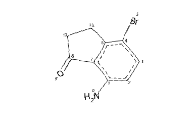 Nc1ccc(Br)c2c1C(=O)CC2